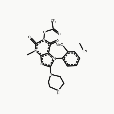 CC#N.COc1ccccc1-n1c(N2CCNCC2)nc2c1c(=O)n(OC(=O)C(F)(F)F)c(=O)n2C